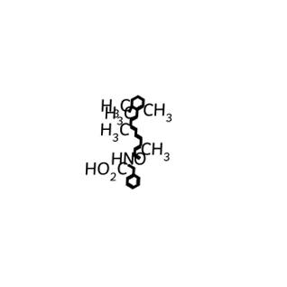 CC(C=CC1=C(C)CCCC1(C)C)=CC=CC(C)=CC(=O)NC(Cc1ccccc1)C(=O)O